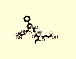 CC[C@H](C)C(NC(=O)CCC(=O)O)C(=O)NCC(=O)N1C[C@H](C2CCCCC2)C[C@H]1C(=O)NCc1nn[nH]n1